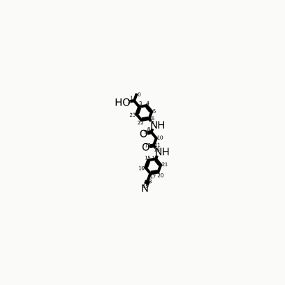 CC(O)c1ccc(NC(=O)CC(=O)Nc2ccc(C#N)cc2)cc1